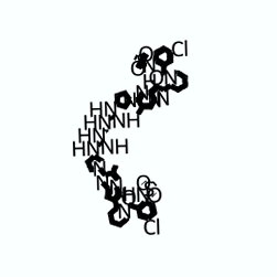 Cc1cn2nc(C3CCCCN3C(=O)c3cc(Cl)ccc3NS(C)(=O)=O)cc2nc1N1CCC(NC(=N)NCNC(=N)NC2CCN(c3nc4cc(C5CCCCN5C(=O)c5cc(Cl)ccc5NS(C)(=O)=O)nn4cc3C)C2)C1